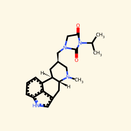 CC(C)N1C(=O)CN(C[C@@H]2C[C@@H]3c4cccc5[nH]cc(c45)C[C@H]3N(C)C2)C1=O